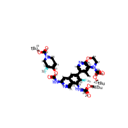 Cc1c(-c2cc3cc(NC(=O)OC4CCN(C(=O)OC(C)(C)C)CC4F)ncc3c(NC(=O)OC(C)(C)C)c2F)cnc2c1N(C(=O)OC(C)(C)C)CCO2